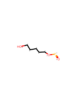 O=POCCCCCO